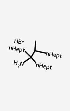 Br.CCCCCCCC(C)C(N)(CCCCCCC)CCCCCCC